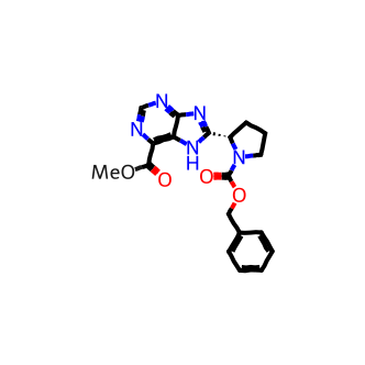 COC(=O)c1ncnc2nc([C@@H]3CCCN3C(=O)OCc3ccccc3)[nH]c12